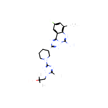 COc1cc(F)cc2c1nc(N)n1nc([C@@H]3CCCN(c4nc(C)n(CC(C)(C)O)n4)C3)nc21